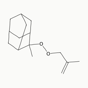 C=C(C)COOC1(C)C2CC3CC(C2)CC1C3